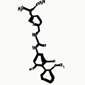 CC(C(=O)O)c1ccc(CNC(=O)Nc2cc(Cl)c(-c3ccccc3OC(F)(F)F)c(Cl)c2)nc1